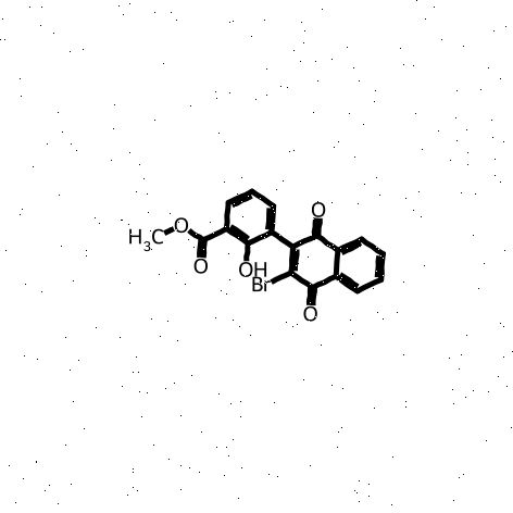 COC(=O)c1cccc(C2=C(Br)C(=O)c3ccccc3C2=O)c1O